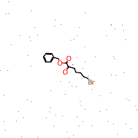 O=C(CCCCCBr)C(=O)OCc1ccccc1